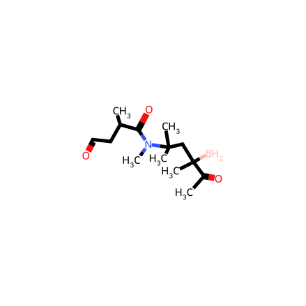 BC(C)(CC(C)(C)N(C)C(=O)C(C)CC=O)C(C)=O